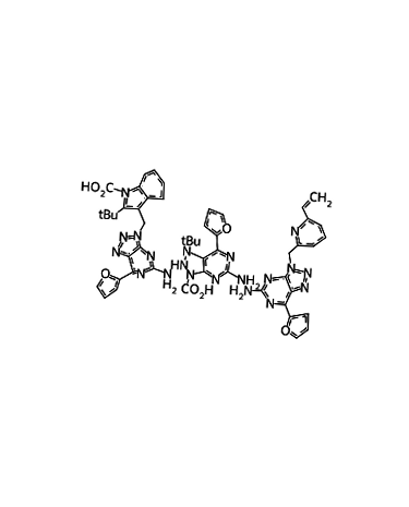 C=Cc1cccc(Cn2nnc3c(-c4ccco4)nc(N)nc32)n1.CC(C)(C)N1NN(C(=O)O)c2nc(N)nc(-c3ccco3)c21.CC(C)(C)c1c(Cn2nnc3c(-c4ccco4)nc(N)nc32)c2ccccc2n1C(=O)O